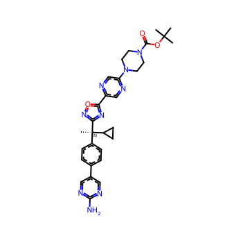 CC(C)(C)OC(=O)N1CCN(c2cnc(-c3nc([C@](C)(c4ccc(-c5cnc(N)nc5)cc4)C4CC4)no3)cn2)CC1